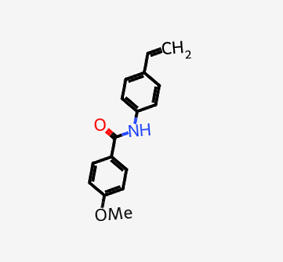 C=Cc1ccc(NC(=O)c2ccc(OC)cc2)cc1